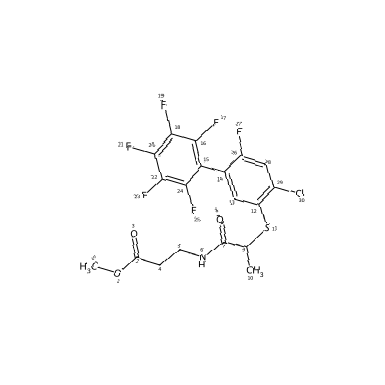 COC(=O)CCNC(=O)C(C)Sc1cc(-c2c(F)c(F)c(F)c(F)c2F)c(F)cc1Cl